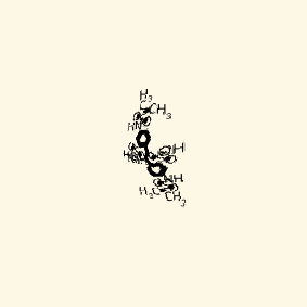 CC(C)S(=O)(=O)Nc1ccc(CCc2ccc(NS(=O)(=O)C(C)C)cc2S(=O)(=O)O)c(S(=O)(=O)O)c1.[NaH]